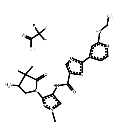 Cn1cc(NC(=O)c2coc(-c3ccnc(NCC(F)(F)F)c3)n2)c(N2CC(N)C(C)(C)C2=O)n1.O=C(O)C(F)(F)F